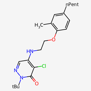 CCCCCc1ccc(OCCNc2cnn(C(C)(C)C)c(=O)c2Cl)c(C)c1